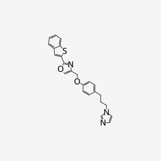 c1ccc2sc(-c3nc(COc4ccc(CCCn5ccnc5)cc4)co3)cc2c1